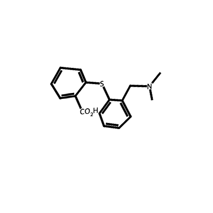 CN(C)Cc1ccccc1Sc1ccccc1C(=O)O